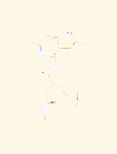 C[C@@H](Nc1nc(Cl)cc2ncc(Br)cc12)c1cc([N+](=O)[O-])cc(C(F)(F)F)c1